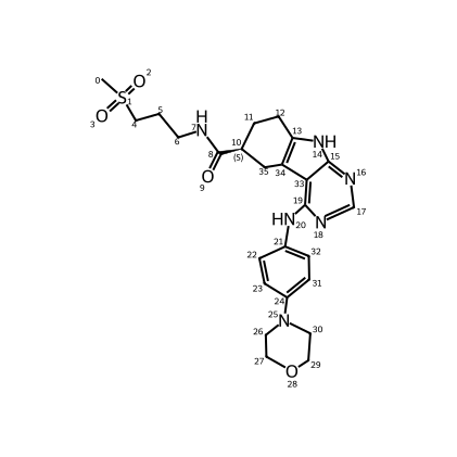 CS(=O)(=O)CCCNC(=O)[C@H]1CCc2[nH]c3ncnc(Nc4ccc(N5CCOCC5)cc4)c3c2C1